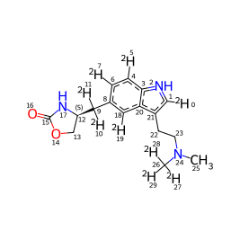 [2H]c1[nH]c2c([2H])c([2H])c(C([2H])([2H])[C@H]3COC(=O)N3)c([2H])c2c1CCN(C)C([2H])([2H])[2H]